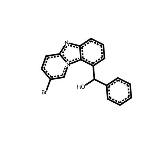 OC(c1ccccc1)c1cccc2nc3ccc(Br)cn3c12